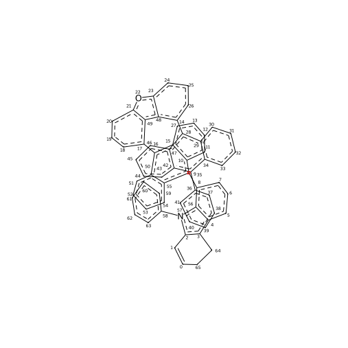 C1=Cc2c(c3cccc(-c4c5ccccc5c(-c5cccc6oc7cccc(-c8c9ccccc9c(-c9ccccc9)c9ccccc89)c7c56)c5ccccc45)c3n2-c2ccccc2)CC1